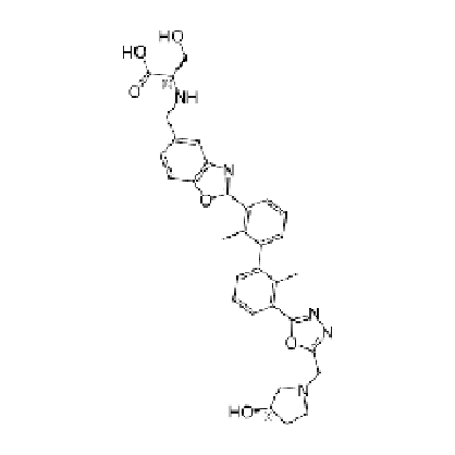 Cc1c(-c2nnc(CN3CC[C@@H](O)C3)o2)cccc1-c1cccc(-c2nc3cc(CN[C@H](CO)C(=O)O)ccc3o2)c1C